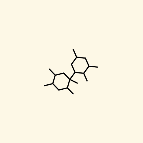 CC1CC(C)C(C)C(C2(C)CC(C)C(C)CC2C)C1